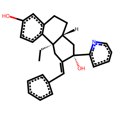 CC[C@@]12CC(=Cc3ccccc3)[C@](O)(c3ccccn3)C[C@H]1CCc1cc(O)ccc12